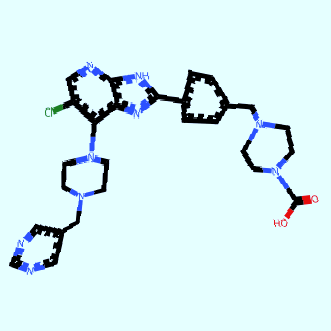 O=C(O)N1CCN(Cc2ccc(-c3nc4c(N5CCN(Cc6cncnc6)CC5)c(Cl)cnc4[nH]3)cc2)CC1